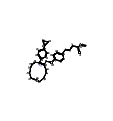 COC(=O)CCCc1ccc(OC/C2=C(\c3ccc(C4CC4)cc3)CCCCCCCCCC2)cc1